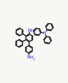 Nc1ccc(-c2ccc(N)c(-c3ccccc3)c2-c2ccccc2)cc1.c1ccc(N(c2ccccc2)c2ccccc2)cc1